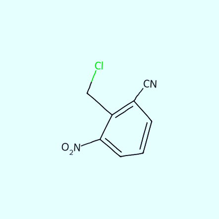 N#Cc1cccc([N+](=O)[O-])c1CCl